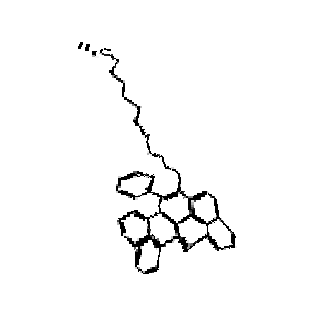 CCCCCCCCCCCCc1c(-c2ccccc2)c(-c2ccccc2)c2c(-c3ccccc3)cc3cccc4ccc1c2c43